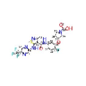 Cc1nsc(Nc2cnc(C(F)(F)F)cn2)c1C(=O)Nc1ccc(F)c(O[C@@H]2CCN(C(=O)O)C2)c1